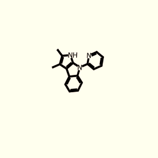 Cc1[nH]c2c(c1C)c1ccccc1n2-c1ccccn1